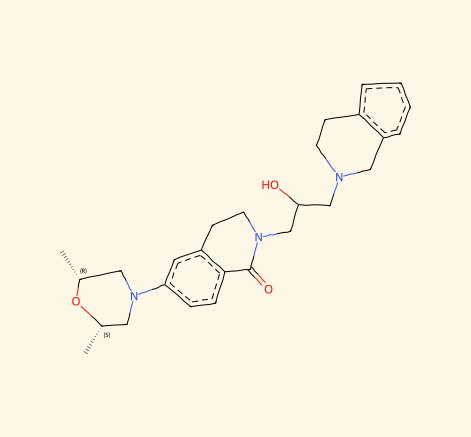 C[C@@H]1CN(c2ccc3c(c2)CCN(CC(O)CN2CCc4ccccc4C2)C3=O)C[C@H](C)O1